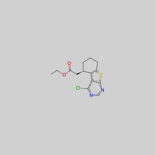 CCOC(=O)C[C@H]1CCCc2sc3ncnc(Cl)c3c21